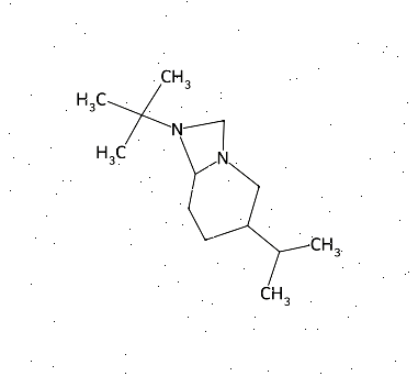 CC(C)C1CCC2N(C1)CN2C(C)(C)C